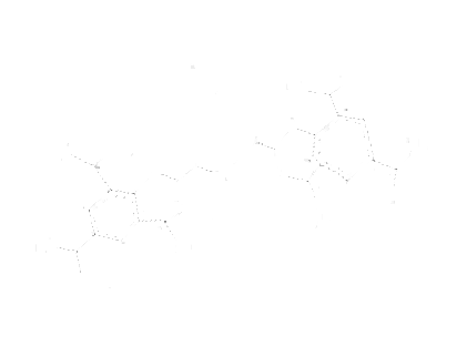 CC(C)c1cc(C(C)C)c(SCCOCCSc2c(C(C)C)cc(C(C)C)cc2C(C)C)c(C(C)C)c1.[Cl-].[Cl-].[Pd+2]